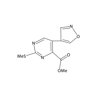 COC(=O)c1nc(SC)ncc1-c1cnoc1